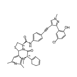 Cc1cc(C2SC[C@@H](C(=O)Nc3ccc(C#Cc4cn(C)nc4-c4cc(Cl)ccc4O)cc3)N2C(=O)[C@@H](C2=CC=CCC2)N(C)C)cc(C)n1